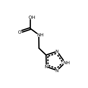 O=C(O)NCc1nn[nH]n1